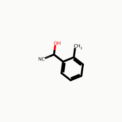 Cc1ccccc1C(O)C#N